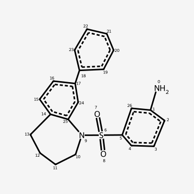 Nc1cccc(S(=O)(=O)N2CCCCc3ccc(-c4ccccc4)cc32)c1